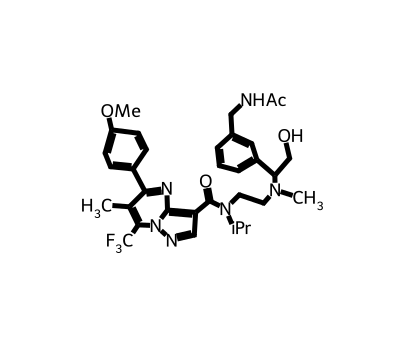 COc1ccc(-c2nc3c(C(=O)N(CCN(C)C(CO)c4cccc(CNC(C)=O)c4)C(C)C)cnn3c(C(F)(F)F)c2C)cc1